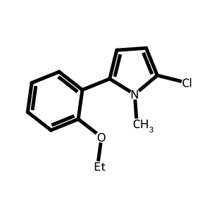 CCOc1ccccc1-c1ccc(Cl)n1C